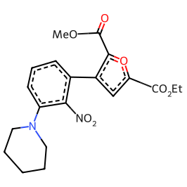 CCOC(=O)c1cc(-c2cccc(N3CCCCC3)c2[N+](=O)[O-])c(C(=O)OC)o1